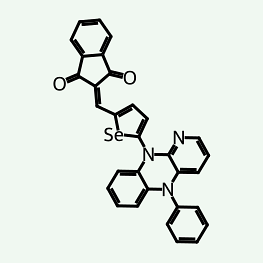 O=C1C(=Cc2ccc(N3c4ccccc4N(c4ccccc4)c4cccnc43)[se]2)C(=O)c2ccccc21